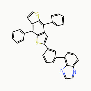 c1ccc(-c2c3cc(-c4cccc(-c5cccc6nccnc56)c4)sc3c(-c3ccccc3)c3ccsc23)cc1